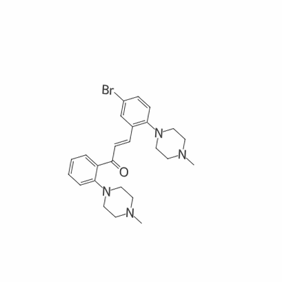 CN1CCN(c2ccc(Br)cc2C=CC(=O)c2ccccc2N2CCN(C)CC2)CC1